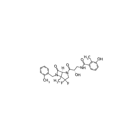 Cc1ccccc1CN1C(=O)[C@H]2N(C(=O)[C@@H](O)CNC(=O)c3cccc(O)c3C)CC(F)(F)C21C